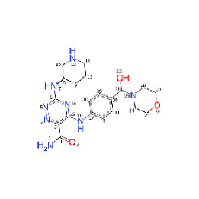 NC(=O)c1nnc(N[C@@H]2CCCNC2)nc1Nc1ccc(C(O)N2CCOCC2)cc1